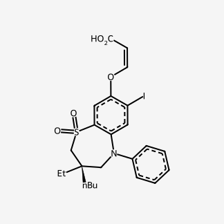 CCCC[C@]1(CC)CN(c2ccccc2)c2cc(I)c(O/C=C\C(=O)O)cc2S(=O)(=O)C1